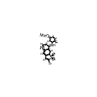 COc1ccc(C)c(Nc2ccnc3cc4c(cc23)S(=O)(=O)C(C)=C4)c1